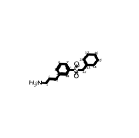 NCC=Cc1cccc(S(=O)(=O)CC2CCCCC2)c1